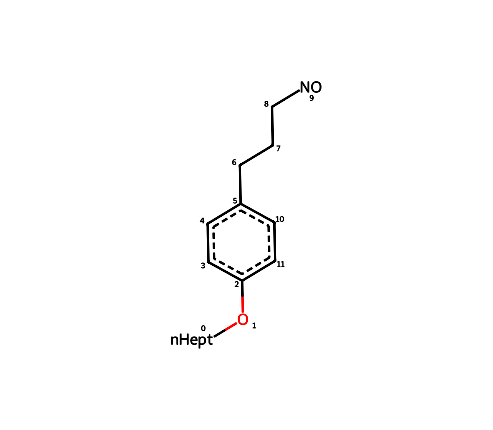 CCCCCCCOc1ccc(CCCN=O)cc1